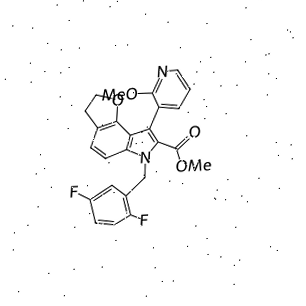 COC(=O)c1c(-c2cccnc2OC)c2c3c(ccc2n1Cc1cc(F)ccc1F)CCO3